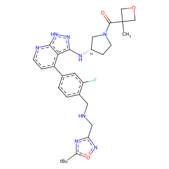 CC1(C(=O)N2CC[C@H](Nc3n[nH]c4nccc(-c5ccc(CNCc6noc(C(C)(C)C)n6)c(F)c5)c34)C2)COC1